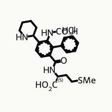 CSCC[C@H](NC(=O)c1ccc(C2CCCCN2)c(NC(=O)O)c1-c1ccccc1)C(=O)O.Cl